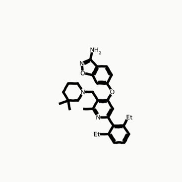 CCc1cccc(CC)c1-c1cc(Oc2ccc3c(N)noc3c2)c(CN2CCCC(C)(C)C2)c(C)n1